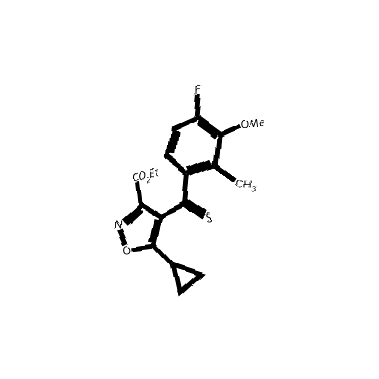 CCOC(=O)c1noc(C2CC2)c1C(=S)c1ccc(F)c(OC)c1C